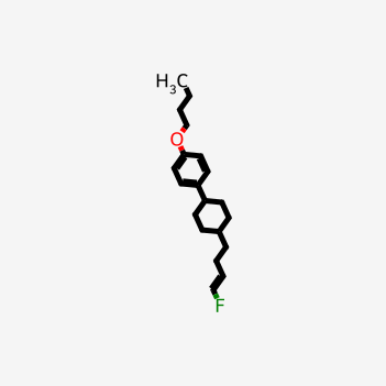 CCCCOc1ccc(C2CCC(CCC=CF)CC2)cc1